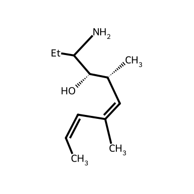 C/C=C\C(C)=C/[C@@H](C)[C@H](O)C(N)CC